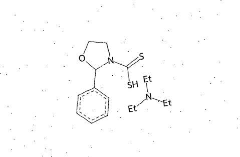 CCN(CC)CC.S=C(S)N1CCOC1c1ccccc1